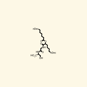 CCCCCCCCCCCCCCCC(=O)OC(CCCCCCCCCCCCCC)C(=O)NCC(=O)N[C@@H](CO)C(=O)O